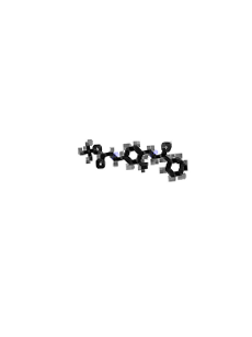 CC(C)(C)OC(=O)/C=C/c1ccc(/C=C/C(=O)c2cccnc2)c(F)c1